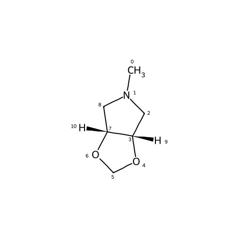 CN1C[C@@H]2OCO[C@@H]2C1